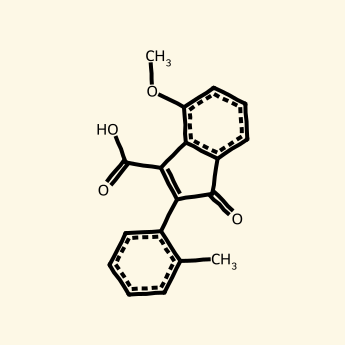 COc1cccc2c1C(C(=O)O)=C(c1ccccc1C)C2=O